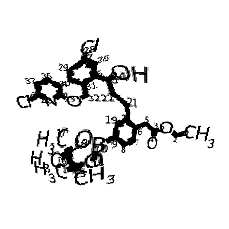 CCOC(=O)Cc1ccc(B2OC(C)(C)C(C)(C)O2)cc1CCC(O)c1cc(Cl)ccc1COc1cccc(Cl)n1